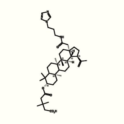 C=C(C)[C@@H]1CC[C@]2(CC(=O)NCCCn3ccnc3)CC[C@]3(C)[C@H](CCC4[C@@]5(C)CC[C@H](OC(=O)CC(C)(C)CC(=O)O)C(C)(C)C5CC[C@]43C)[C@@H]12